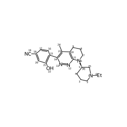 CCN1CCC[C@@H](N2CCCc3c2nnc(-c2ccc(C#N)cc2O)c3C)C1